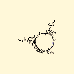 C=CCOC(=O)CCC(=O)O[C@@H]1/C(C)=C/[C@@H](C)C(=O)C[C@@H]2OC(=O)[C@@H]3C(CCCN3C(=O)C(=O)[C@]3(O)O[C@@H](CC[C@H]3C)C[C@H](OC)/C(C)=C/C=C/C=C/[C@@H](C)C[C@@H](C)C(=O)[C@@H]1OC)[C@@H]2C[C@@H]1CC[C@@H](OC(=O)OCC=C)[C@H](OC)C1